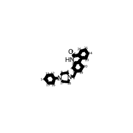 O=c1[nH]c2cc(CN3CCN(c4ccccc4)CC3)ccc2c2ccccc12